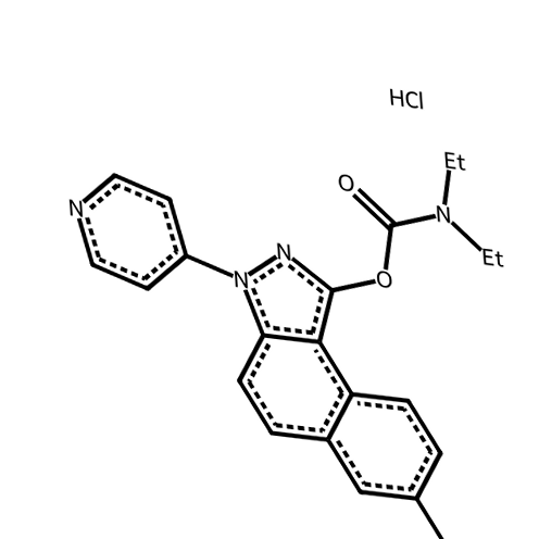 CCN(CC)C(=O)Oc1nn(-c2ccncc2)c2ccc3cc(Cl)ccc3c12.Cl